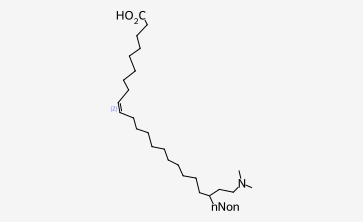 CCCCCCCCCC(CCCCCCCCCC/C=C\CCCCCCCC(=O)O)CCN(C)C